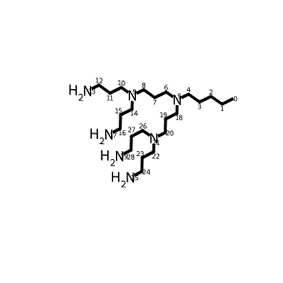 CCCCCN(CCCN(CCCN)CCCN)CCCN(CCCN)CCCN